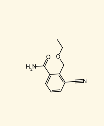 CCOCc1c(C#N)cccc1C(N)=O